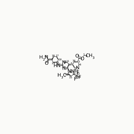 CCOC(=O)c1cncc(-c2cnc(Nc3cccc(C(N)=O)c3)nc2N2NC(C(F)(F)F)C=C2C)c1